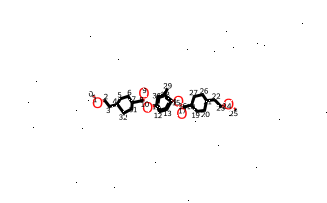 COCCC1CCC(C(=O)Oc2ccc(OC(=O)C3CCC(CCOC)CC3)c(C)c2)CC1